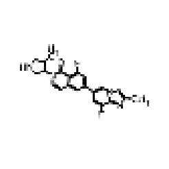 Cc1cn2cc(-c3cc(F)c4c(=O)n(C5CNCC5C)ccc4c3)cc(F)c2n1